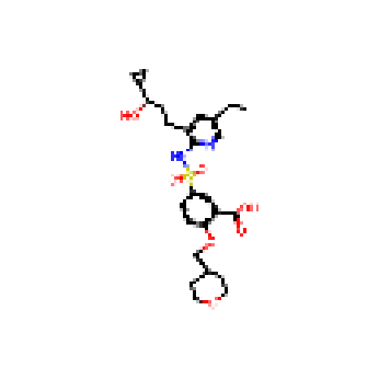 CCc1cnc(NS(=O)(=O)c2ccc(OCC3CCOCC3)c(C(=O)O)c2)c(CC[C@@H](O)C2CC2)c1